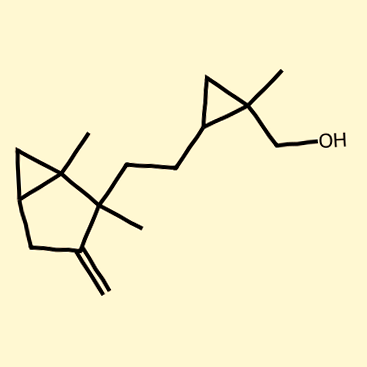 C=C1CC2CC2(C)C1(C)CCC1CC1(C)CO